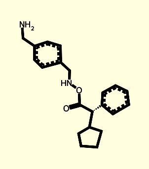 NCc1ccc(CNOC(=O)[C@H](c2ccccc2)C2CCCC2)cc1